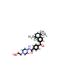 CC1(C)CCC(C)(C)c2cc(C(=O)c3ccc(C(=O)NN4CCN(CCO)CC4)cc3)ccc21